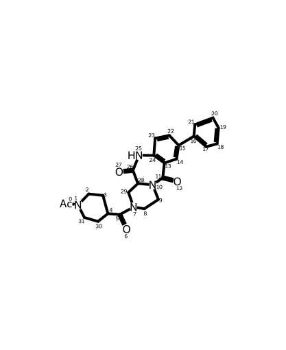 CC(=O)N1CCC(C(=O)N2CCN3C(=O)c4cc(-c5ccccc5)ccc4NC(=O)C3C2)CC1